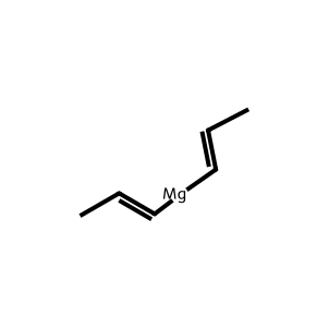 CC=[CH][Mg][CH]=CC